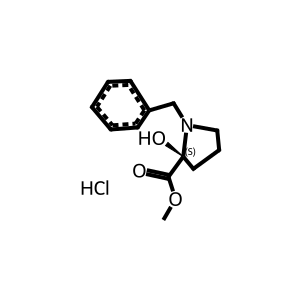 COC(=O)[C@@]1(O)CCCN1Cc1ccccc1.Cl